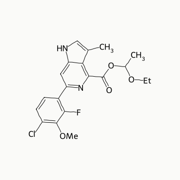 CCOC(C)OC(=O)c1nc(-c2ccc(Cl)c(OC)c2F)cc2[nH]cc(C)c12